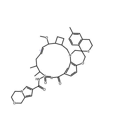 COC1/C=C/CC(C)C(C)S(=O)(NC(=O)c2cc3n(c2)CCOC3)=NC(=O)c2ccc3c(c2)N(CC2CCC21)CC1(CO3)SCCc2cc(C)ccc21